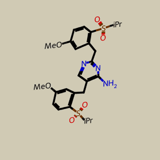 COc1ccc(S(=O)(=O)C(C)C)c(Cc2ncc(Cc3cc(OC)ccc3S(=O)(=O)C(C)C)c(N)n2)c1